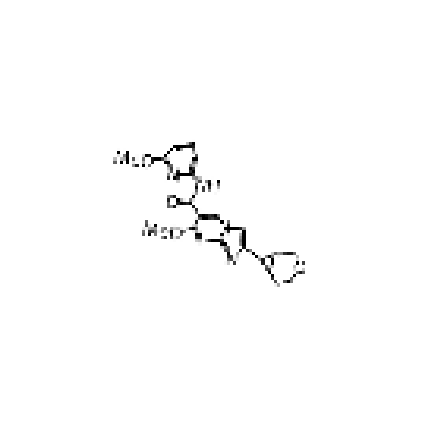 COc1cccc(NC(=O)c2cn3cc(C4C5CCOCC54)nc3cc2OC)n1